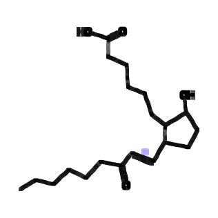 CCCCCCC(=O)/C=C/C1CCC(O)C1CCCCCC(=O)O